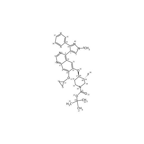 Cn1cc(-c2ncnc3cc(OC4CC4)c(O[C@@H]4CCN(C(=O)OC(C)(C)C)C[C@H]4F)cc23)c(-c2ccccc2)n1